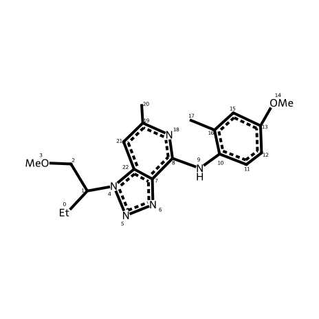 CCC(COC)n1nnc2c(Nc3ccc(OC)cc3C)nc(C)cc21